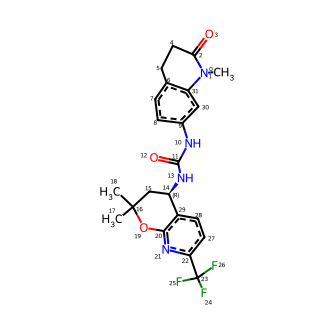 CN1C(=O)CCc2ccc(NC(=O)N[C@@H]3CC(C)(C)Oc4nc(C(F)(F)F)ccc43)cc21